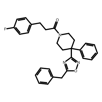 O=C(CCc1ccc(F)cc1)N1CCC(c2ccccc2)(c2noc(Cc3ccccc3)n2)CC1